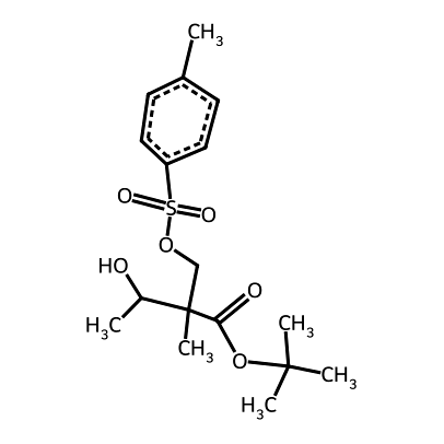 Cc1ccc(S(=O)(=O)OCC(C)(C(=O)OC(C)(C)C)C(C)O)cc1